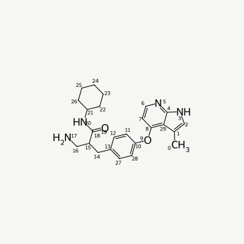 Cc1c[nH]c2nccc(Oc3ccc(CC(CN)C(=O)NC4CCCCC4)cc3)c12